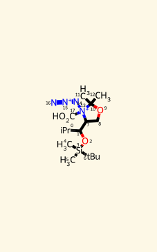 CC(C)C(O[Si](C)(C)C(C)(C)C)C1COC(C)(C)[N+]1(N=[N+]=[N-])C(=O)O